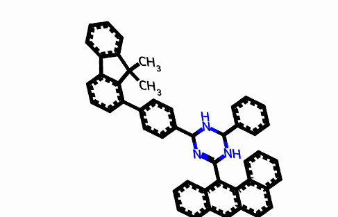 CC1(C)c2ccccc2-c2cccc(-c3ccc(C4N=C(c5c6ccccc6cc6ccc7ccccc7c56)NC(c5ccccc5)N4)cc3)c21